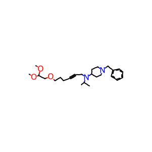 COC(COCCCC#CCN(C(C)C)C1CCN(Cc2ccccc2)CC1)OC